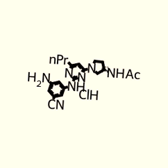 CCCc1cc(N2CC[C@H](NC(C)=O)C2)nc(Nc2cc(N)cc(C#N)c2)n1.Cl